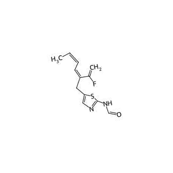 C=C(F)/C(=C\C=C/C)Cc1cnc(NC=O)s1